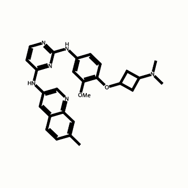 COc1cc(Nc2nccc(Nc3cnc4cc(C)ccc4c3)n2)ccc1OC1CC(N(C)C)C1